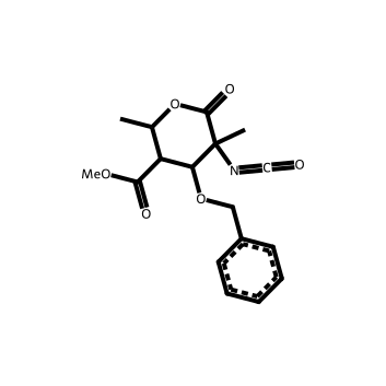 COC(=O)C1C(C)OC(=O)C(C)(N=C=O)C1OCc1ccccc1